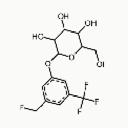 OCC1OC(Oc2cc(CF)cc(C(F)(F)F)c2)C(O)C(O)C1O